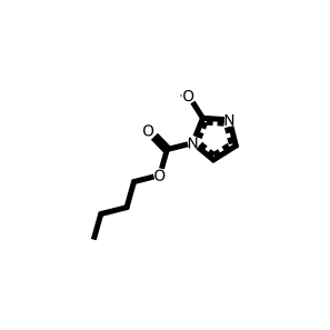 CCCCOC(=O)n1ccnc1[O]